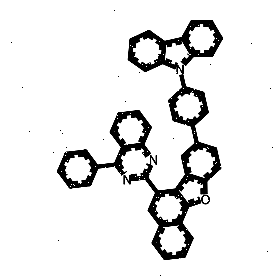 c1ccc(-c2nc(-c3cc4ccccc4c4oc5ccc(-c6ccc(-n7c8ccccc8c8ccccc87)cc6)cc5c34)nc3ccccc23)cc1